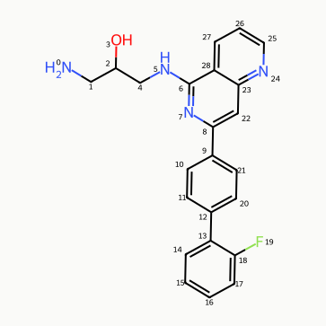 NCC(O)CNc1nc(-c2ccc(-c3ccccc3F)cc2)cc2ncccc12